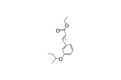 CCOC(=O)/C=C/c1cccc(OC(C)CC)c1